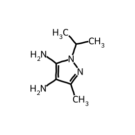 Cc1nn(C(C)C)c(N)c1N